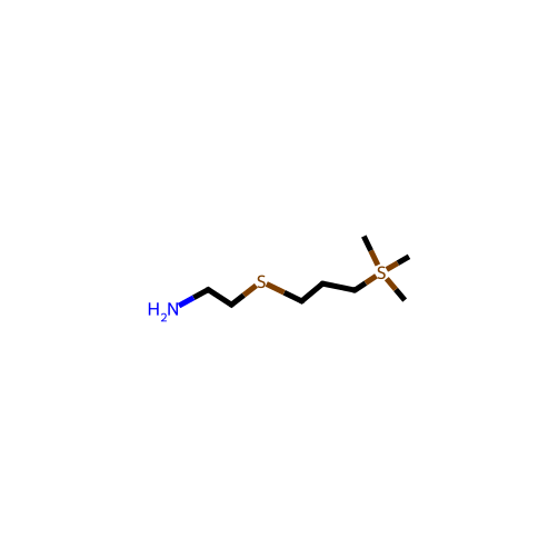 CS(C)(C)CCCSCCN